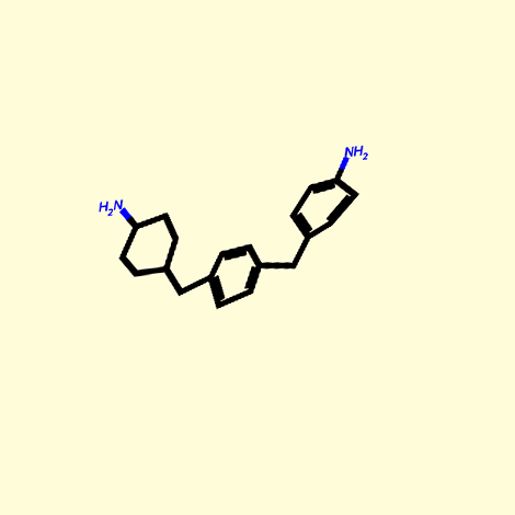 Nc1ccc(Cc2ccc(CC3CCC(N)CC3)cc2)cc1